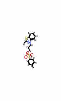 Cc1ccc(S(=O)(=O)OCCCN2c3ccccc3SC2C)cc1